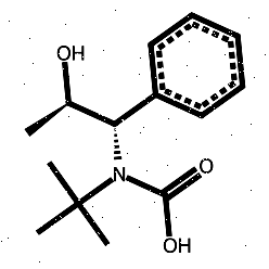 C[C@@H](O)[C@H](c1ccccc1)N(C(=O)O)C(C)(C)C